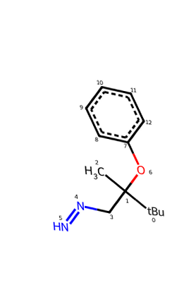 CC(C)(C)C(C)(CN=N)Oc1ccccc1